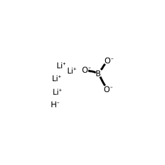 [H-].[Li+].[Li+].[Li+].[Li+].[O-]B([O-])[O-]